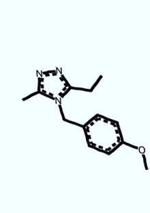 CCc1nnc(C)n1Cc1ccc(OC)cc1